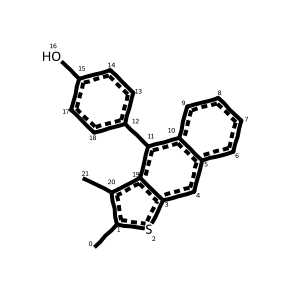 Cc1sc2cc3ccccc3c(-c3ccc(O)cc3)c2c1C